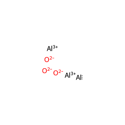 [Al+3].[Al+3].[Al].[O-2].[O-2].[O-2]